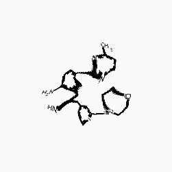 Cc1ccnc(-c2ccc(N)c(C(=N)c3ccnc(N4CCOCC4)c3)c2)n1